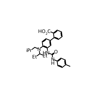 CCC(CC)N(CC(C)C)c1ccc(-c2ccccc2C(=O)O)cc1NC(=O)Nc1ccc(C)cc1